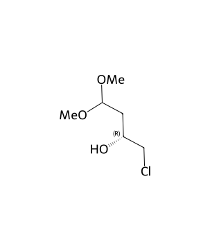 COC(C[C@@H](O)CCl)OC